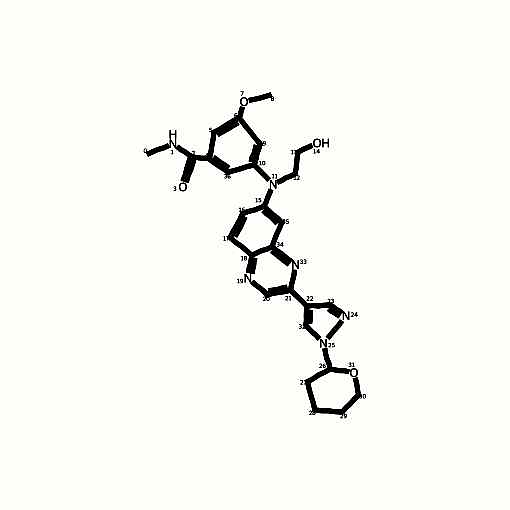 CNC(=O)c1cc(OC)cc(N(CCO)c2ccc3ncc(-c4cnn(C5CCCCO5)c4)nc3c2)c1